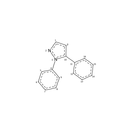 [c]1cnn(-c2ccccc2)c1-c1ccccc1